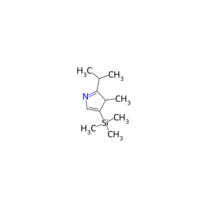 CC(C)C1=NC=C([Si](C)(C)C)C1C